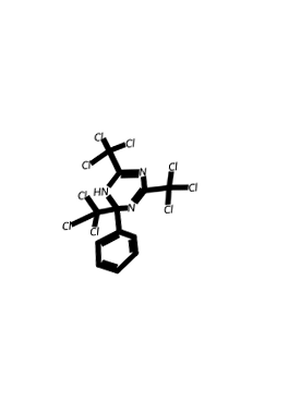 ClC(Cl)(Cl)C1=NC(c2ccccc2)(C(Cl)(Cl)Cl)NC(C(Cl)(Cl)Cl)=N1